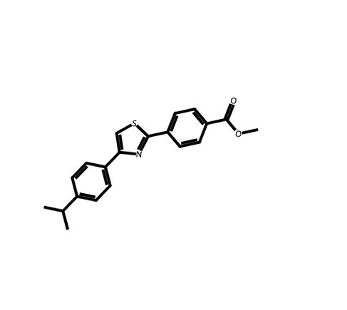 COC(=O)c1ccc(-c2nc(-c3ccc(C(C)C)cc3)cs2)cc1